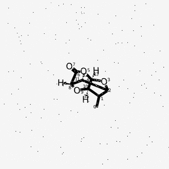 CC1C2O[C@@H]3OC(=O)[C@@H](O[C@H]13)[C@@H]2C